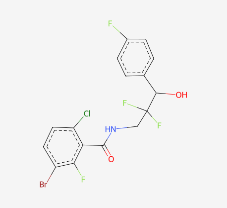 O=C(NCC(F)(F)C(O)c1ccc(F)cc1)c1c(Cl)ccc(Br)c1F